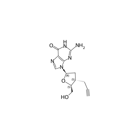 C#CC[C@H]1C[C@H](n2cnc3c(=O)[nH]c(N)nc32)O[C@@H]1CO